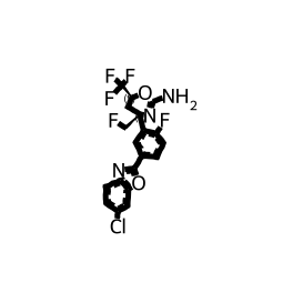 NC1=N[C@](CF)(c2cc(-c3nc4ccc(Cl)cc4o3)ccc2F)C[C@@H](C(F)(F)F)O1